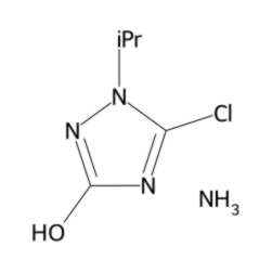 CC(C)n1nc(O)nc1Cl.N